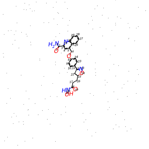 NC(=O)c1cc(COc2ccc(C3=NOC([CH]CC(=O)NO)C3)cc2)c2ccccc2n1